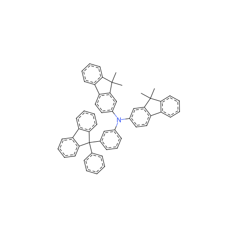 CC1(C)c2ccccc2-c2ccc(N(c3cccc(C4(c5ccccc5)c5ccccc5-c5ccccc54)c3)c3ccc4c(c3)C(C)(C)c3ccccc3-4)cc21